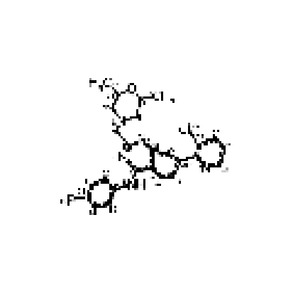 CC1CN(Cc2nc(Nc3ccc(F)cc3)c3ccc(-c4ncccc4Cl)cc3n2)CC(C)O1